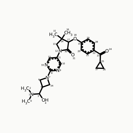 CN(C)C(O)C1CN(c2ncc(N3CC(C)(C)C(Oc4ccc(C(=O)C5CC5)cc4)C3=O)cn2)C1